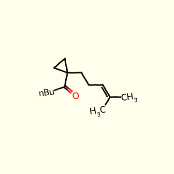 CCCCC(=O)C1(CCC=C(C)C)CC1